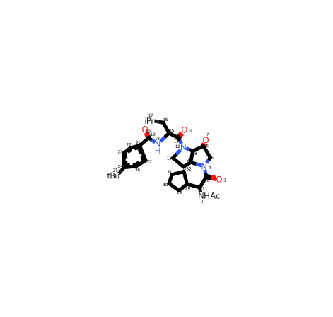 CC(=O)NC(C(=O)N1CC(=O)C2C1CCN2C(=O)C(CC(C)C)NC(=O)c1ccc(C(C)(C)C)cc1)C1CCCC1